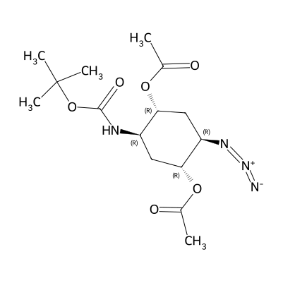 CC(=O)O[C@@H]1C[C@@H](NC(=O)OC(C)(C)C)[C@H](OC(C)=O)C[C@H]1N=[N+]=[N-]